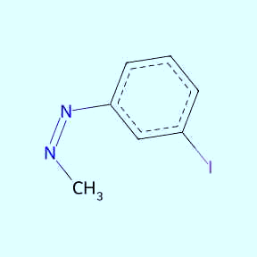 C/N=N\c1cccc(I)c1